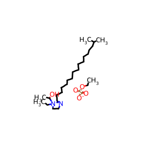 CCOS(=O)(=O)[O-].CC[N+]1(C(C)O)CCN=C1CCCCCCCCCCCCCCC(C)C